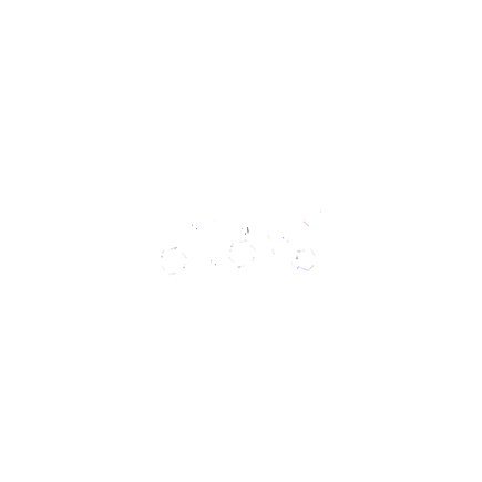 COC(C)(C)C1CN(Cc2ccccc2CNc2cc(F)c(S(=O)(=O)N(OC(=O)C(F)(F)F)c3cscn3)c(F)c2)C1